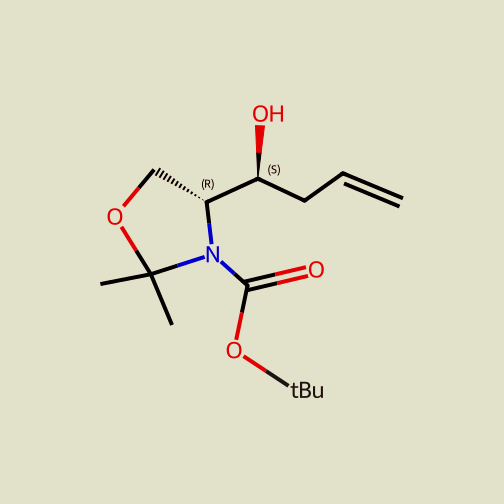 C=CC[C@H](O)[C@H]1COC(C)(C)N1C(=O)OC(C)(C)C